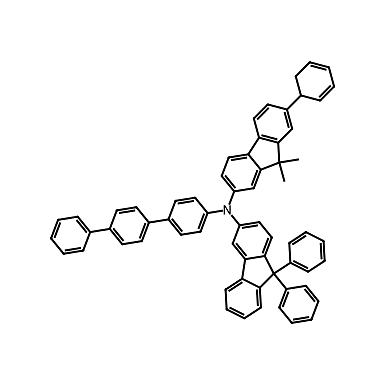 CC1(C)c2cc(C3C=CC=CC3)ccc2-c2ccc(N(c3ccc(-c4ccc(-c5ccccc5)cc4)cc3)c3ccc4c(c3)-c3ccccc3C4(c3ccccc3)c3ccccc3)cc21